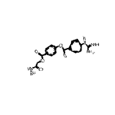 CCC(C)NC(=O)COC(=O)c1ccc(OC(=O)c2ccc(NC(=N)N)cc2)cc1